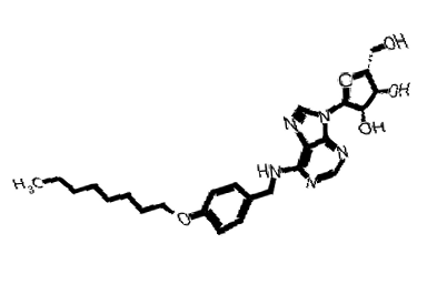 CCCCCCCCOc1ccc(CNc2ncnc3c2ncn3C2O[C@H](CO)[C@@H](O)[C@H]2O)cc1